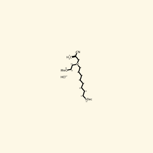 C=C(C#N)CN(CCCCCCCCCCCCCCCCCC)CCOC.Cl